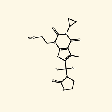 [2H]C([2H])(c1sc2c(c1C)c(=O)n(C1CC1)c(=O)n2CCOC)N1CCNC1=O